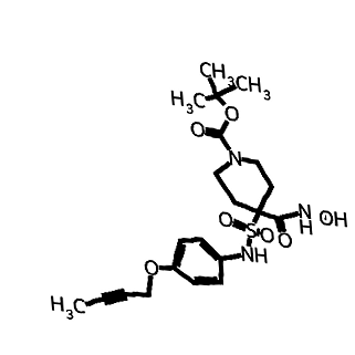 CC#CCOc1ccc(NS(=O)(=O)C2(C(=O)NO)CCN(C(=O)OC(C)(C)C)CC2)cc1